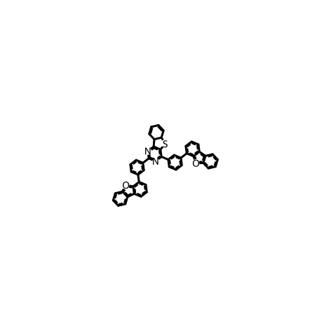 C1=CC2Sc3c(-c4cccc(-c5cccc6c5oc5ccccc56)c4)nc(-c4cccc(-c5cccc6c5oc5ccccc56)c4)nc3C2C=C1